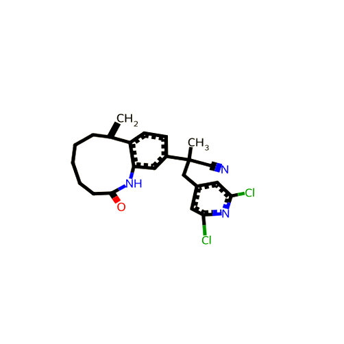 C=C1CCCCCC(=O)Nc2cc(C(C)(C#N)Cc3cc(Cl)nc(Cl)c3)ccc21